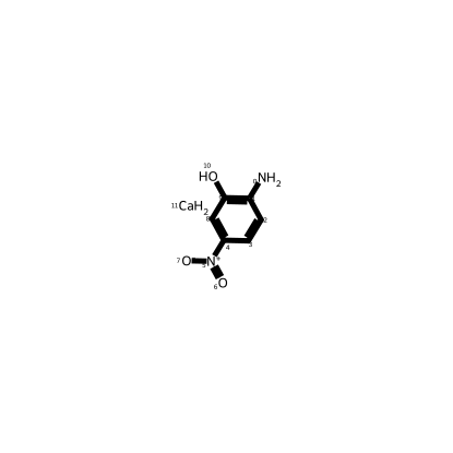 Nc1ccc([N+](=O)[O-])cc1O.[CaH2]